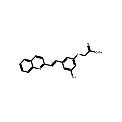 CCCc1cc(/C=C/c2ccc3ccccc3n2)cc(OCC(=O)OC)c1